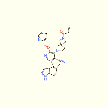 C=CC(=O)N1CC2(CCN(c3c(OCc4ccccn4)ncc(-c4c(C)ccc5[nH]ncc45)c3C#N)C2)C1